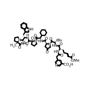 COC(=O)/C=C/CC[C@H](NC(=O)Cc1cncc(C(=O)O)c1)C(=O)N[C@H](C(=O)N1CC(=O)C[C@H]1C(=O)N[C@H](C(=O)N1CCC[C@@]1(C)C(=O)N[C@@H](Cc1c[nH]c2ccccc12)C(=O)N1CCC[C@@]1(C)C(N)=O)C1CCCCC1)C(C)(C)C